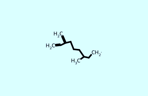 [CH2]CC(C)CCCC(=C)C=C